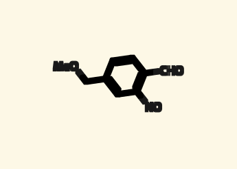 COCc1ccc(C=O)c(N=O)c1